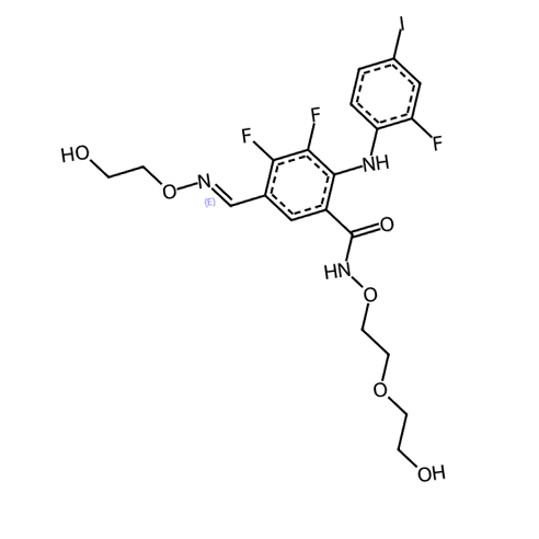 O=C(NOCCOCCO)c1cc(/C=N/OCCO)c(F)c(F)c1Nc1ccc(I)cc1F